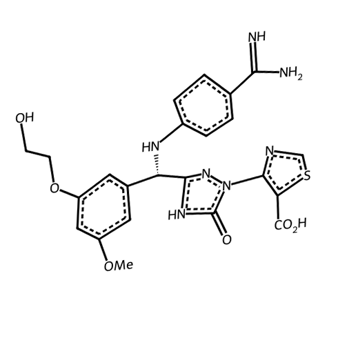 COc1cc(OCCO)cc([C@H](Nc2ccc(C(=N)N)cc2)c2nn(-c3ncsc3C(=O)O)c(=O)[nH]2)c1